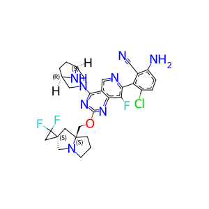 N#Cc1c(N)ccc(Cl)c1-c1ncc2c(N3C[C@H]4CC[C@@H](C3)N4)nc(OC[C@@]34CCCN3C[C@@]3(CC3(F)F)C4)nc2c1F